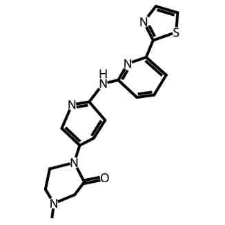 CN1CCN(c2ccc(Nc3cccc(-c4nccs4)n3)nc2)C(=O)C1